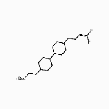 CCCCCCCCCCCCC1CCC(C2CCC(CCC=C(F)F)CC2)CC1